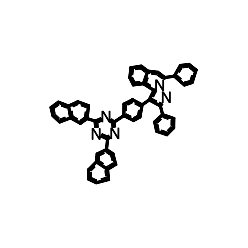 c1ccc(-c2nn3c(-c4ccccc4)cc4ccccc4c3c2-c2ccc(-c3nc(-c4ccc5ccccc5c4)nc(-c4ccc5ccccc5c4)n3)cc2)cc1